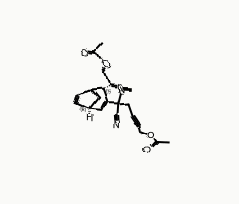 C=C=C(COC(C)=O)[C@@H]1C(C(C#N)(C#N)CC#CCOC(C)=O)=C[C@H]2C=CC1C2